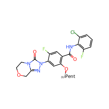 CCC[C@H](C)Oc1cc(-n2nc3n(c2=O)CCOC3)c(F)cc1C(=O)Nc1c(F)cccc1Cl